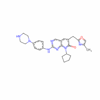 Cc1coc(Cc2cc3cnc(Nc4ccc(N5CCNCC5)cc4)nc3n(C3CCCC3)c2=O)n1